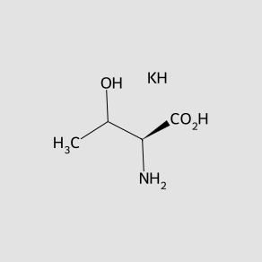 CC(O)[C@H](N)C(=O)O.[KH]